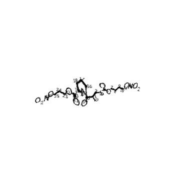 C[C@H](CSC(=O)OCCCCO[N+](=O)[O-])C(=O)N1CCC[C@H]1C(=O)OCCCO[N+](=O)[O-]